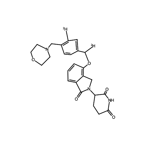 [2H]c1cc(C([2H])Oc2cccc3c2CN(C2CCC(=O)NC2=O)C3=O)ccc1CN1CCOCC1